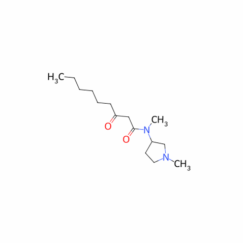 CCCCCCC(=O)CC(=O)N(C)C1CCN(C)C1